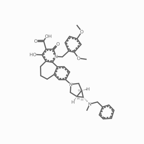 COc1ccc(Cn2c3c(c(O)c(C(=O)O)c2=O)CCCc2cc(N4C[C@@H]5[C@H](C4)[C@H]5N(C)Cc4ccccc4)ccc2-3)c(OC)c1